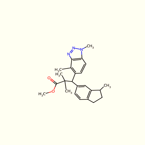 COC(=O)C(C)(C)C(c1ccc2c(c1)C(C)CC2)c1ccc2c(nnn2C)c1C